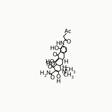 CC(=O)CCC(=O)Nc1ccc2c(c1O)C(=O)C1=C(O)[C@]3(O)C(=O)C(C(N)=O)=C(O)[C@@H](N(C)C)[C@@H]3C[C@@H]1C2